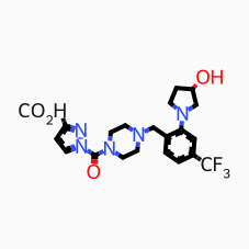 O=C(O)c1ccn(C(=O)N2CCN(Cc3ccc(C(F)(F)F)cc3N3CCC(O)C3)CC2)n1